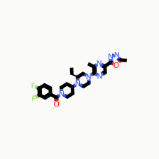 CC[C@H]1CN(c2ncc(-c3nnc(C)o3)nc2C)CCN1C1CCN(C(=O)c2ccc(F)c(F)c2)CC1